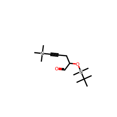 CC(C)(C)[Si](C)(C)OC(C=O)CC#C[Si](C)(C)C